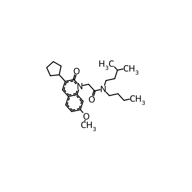 CCCCN(CCC(C)C)C(=O)Cn1c(=O)c(C2CCCC2)cc2ccc(OC)cc21